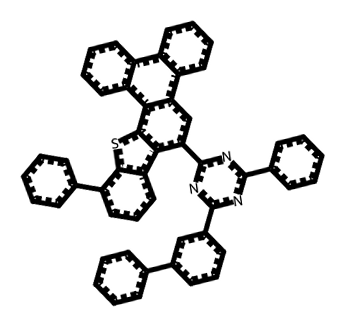 c1ccc(-c2cccc(-c3nc(-c4ccccc4)nc(-c4cc5c6ccccc6c6ccccc6c5c5sc6c(-c7ccccc7)cccc6c45)n3)c2)cc1